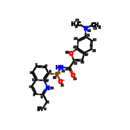 CC(C)Cc1ccc2cccc([S+]([O-])NC(=O)c3cc4ccc(N(C)C)cc4o3)c2n1